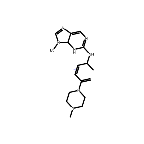 C=C(/C=C\C(C)NC1=NC=C2N=CN(CC)C2N1)N1CCN(C)CC1